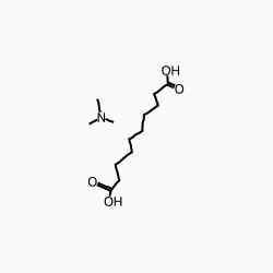 CN(C)C.O=C(O)CCCCCCCCC(=O)O